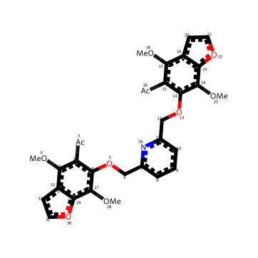 COc1c(C(C)=O)c(OCc2cccc(COc3c(C(C)=O)c(OC)c4ccoc4c3OC)n2)c(OC)c2occc12